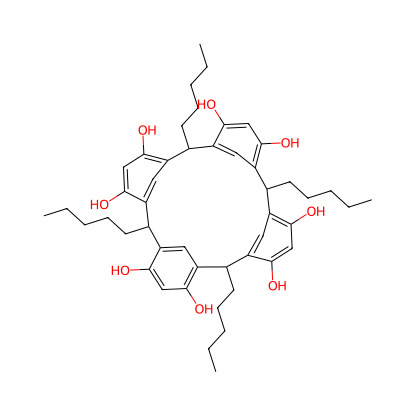 CCCCCC1c2cc(c(O)cc2O)C(CCCCC)c2cc(c(O)cc2O)C(CCCCC)c2cc(c(O)cc2O)C(CCCCC)c2cc1c(O)cc2O